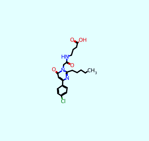 CCCCCc1nc(-c2ccc(Cl)cc2)cc(=O)n1CC(=O)NCCCC(=O)O